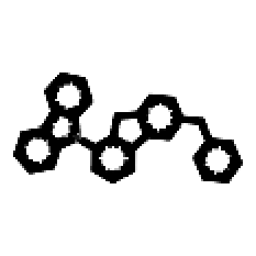 c1ccc(Cc2ccc3c(c2)-c2cccc(-n4c5ccccc5c5ccccc54)c2C3)cc1